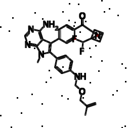 C=C(C)COCNc1ccc(-c2c(-c3ccc(C(=O)N4CC5CC4(C(F)F)C5)cc3)c3c(N)ncnc3n2C)cc1